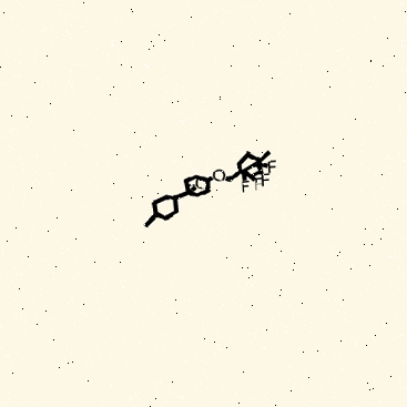 CC1CCC(C23CCC(OCC45CCC(C)(CC4)C(F)(F)C5(F)F)(CC2)CC3)CC1